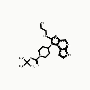 CC(C)(C)OC(=O)N1CCC(n2c(NCCO)nc3cnc4[nH]ccc4c32)CC1